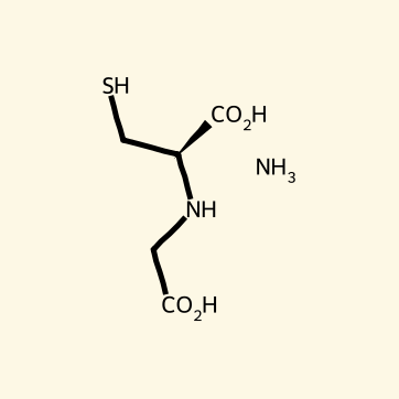 N.O=C(O)CN[C@@H](CS)C(=O)O